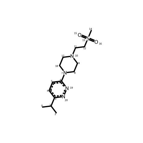 CC(C)c1ccc(N2CCN(CCS(C)(=O)=O)CC2)nn1